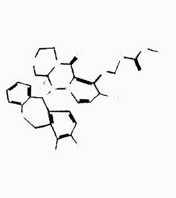 COC(=O)OCOC1=C2C(=O)N3CCOC[C@H]3N([C@@H]3c4ccccc4SCc4c3ccc(F)c4F)N2C=CC1O